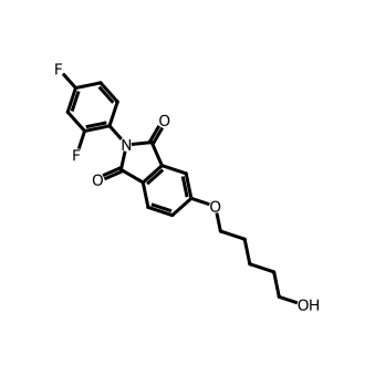 O=C1c2ccc(OCCCCCO)cc2C(=O)N1c1ccc(F)cc1F